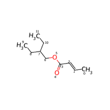 CC=CC(=O)OCC(CC)CC